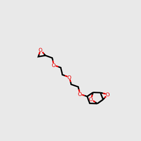 C(COCC1CO1)OCCOC1CC2OC1C1OC21